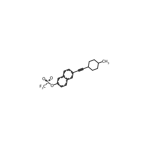 CC1CCC(C#Cc2ccc3cc(OS(=O)(=O)C(F)(F)F)ccc3c2)CC1